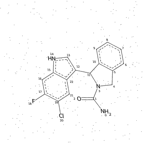 NC(=O)N1Cc2ccccc2C1c1c[nH]c2cc(F)c(Cl)cc12